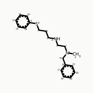 CN(CCNCCCSc1ccccc1)Cc1ccccc1